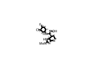 CNc1nc2nccc(/C(=N\O)Nc3ccc(F)c(Cl)c3)c2[nH]1